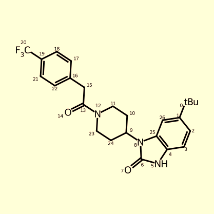 CC(C)(C)c1ccc2[nH]c(=O)n(C3CCN(C(=O)Cc4ccc(C(F)(F)F)cc4)CC3)c2c1